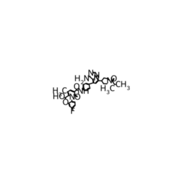 Cc1cc(C(=O)Nc2ccc(-c3cc(C4CCN(C(=O)C(C)C)CC4)n4ncnc(N)c34)cc2)c(=O)n(-c2ccc(F)cc2)c1C(=O)O